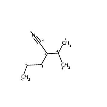 CCCC(C#N)C(C)C